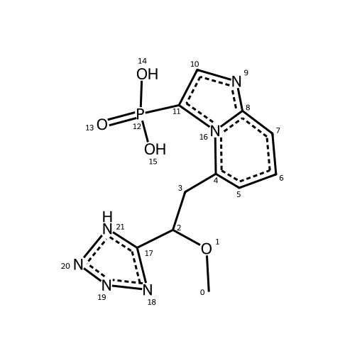 COC(Cc1cccc2ncc(P(=O)(O)O)n12)c1nnn[nH]1